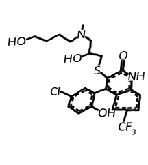 CN(CCCCO)CC(O)CSc1c(-c2cc(Cl)ccc2O)c2cc(C(F)(F)F)ccc2[nH]c1=O